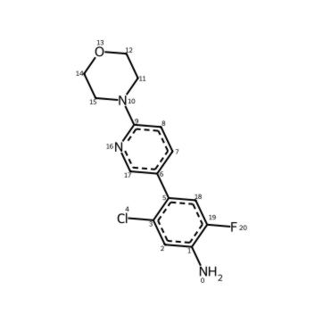 Nc1cc(Cl)c(-c2ccc(N3CCOCC3)nc2)cc1F